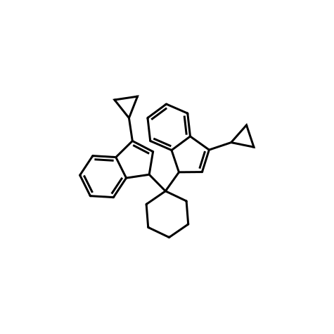 C1=C(C2CC2)c2ccccc2C1C1(C2C=C(C3CC3)c3ccccc32)CCCCC1